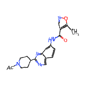 CC(=O)N1CCC(c2ncc3ccc(NC(=O)c4cnoc4C)cc3n2)CC1